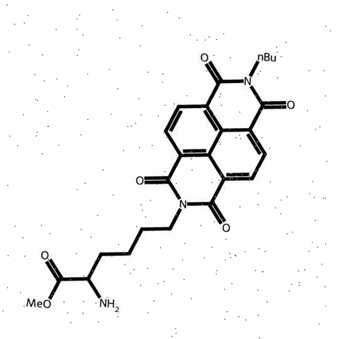 CCCCN1C(=O)c2ccc3c4c(ccc(c24)C1=O)C(=O)N(CCCCC(N)C(=O)OC)C3=O